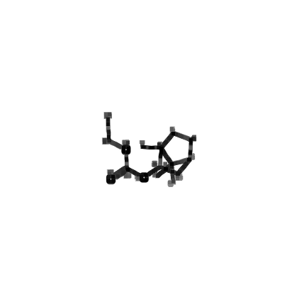 CC1(C)C2CCC1(C)C(OC(=O)OCI)C2